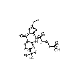 CCc1cc(C(=O)c2ccc(C(F)(F)F)nc2)c(NC(=O)CSCC(=O)O)s1